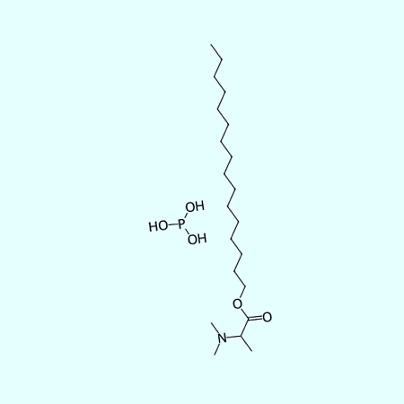 CCCCCCCCCCCCCCCCOC(=O)C(C)N(C)C.OP(O)O